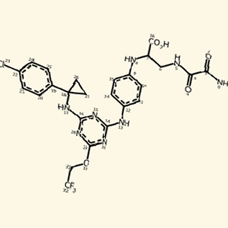 NC(=O)C(=O)NCC(Nc1ccc(Nc2nc(NC3(c4ccc(Cl)cc4)CC3)nc(OCC(F)(F)F)n2)cc1)C(=O)O